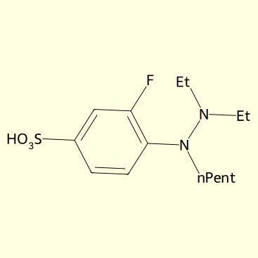 CCCCCN(c1ccc(S(=O)(=O)O)cc1F)N(CC)CC